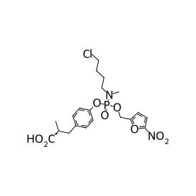 C[C@@H](Cc1ccc(OP(=O)(OCc2ccc([N+](=O)[O-])o2)N(C)CCCCCl)cc1)C(=O)O